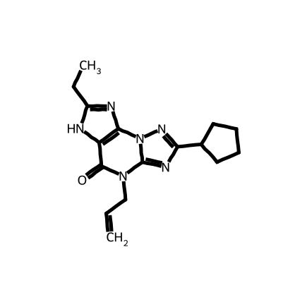 C=CCn1c(=O)c2[nH]c(CC)nc2n2nc(C3CCCC3)nc12